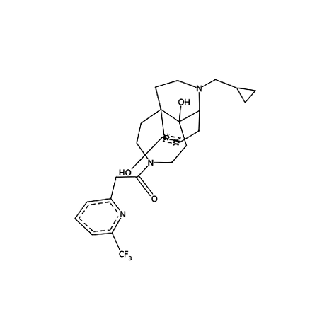 O=C(Cc1cccc(C(F)(F)F)n1)N1CCC23CCN(CC4CC4)C(Cc4ccc(O)cc42)C3(O)CC1